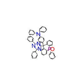 O=P1(c2ccccc2)c2ccccc2C(c2ccc(N(c3ccccc3)c3ccccc3)cc2)(c2nc(-c3ccccc3)nc(-c3ccccc3)n2)c2ccccc21